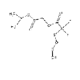 CC(C)OC(=O)COC(=O)C(F)(F)SOOO